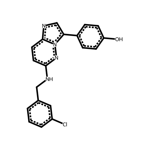 Oc1ccc(-c2cnc3ccc(NCc4cccc(Cl)c4)nn23)cc1